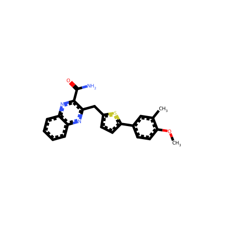 COc1ccc(-c2ccc(Cc3nc4ccccc4nc3C(N)=O)s2)cc1C